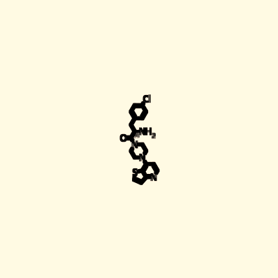 N[C@H](Cc1ccc(Cl)cc1)C(=O)N1CCN(c2ccnc3ccsc23)CC1